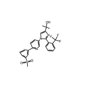 CC(C)(O)c1cn(-c2ccc(-c3cccc(S(C)(=O)=O)c3)nc2)c(-c2ccccc2C(F)(F)F)n1